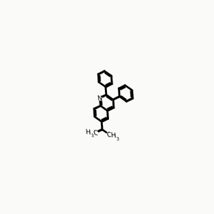 CC(C)c1ccc2nc(-c3ccccc3)c(-c3ccccc3)cc2c1